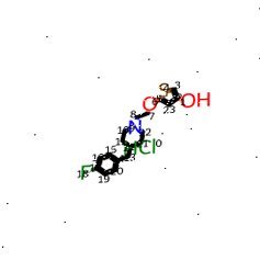 Cl.Oc1csc(OCCN2CCC(Cc3ccc(F)cc3)CC2)c1